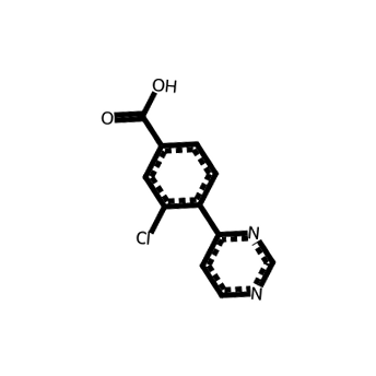 O=C(O)c1ccc(-c2ccncn2)c(Cl)c1